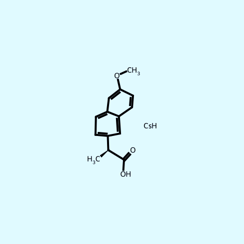 COc1ccc2cc([C@H](C)C(=O)O)ccc2c1.[CsH]